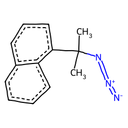 CC(C)(N=[N+]=[N-])c1cccc2ccccc12